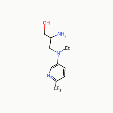 CCN(CC(N)CO)c1ccc(C(F)(F)F)nc1